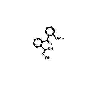 COc1ccccc1C(=O)c1ccccc1C(C#N)=NO